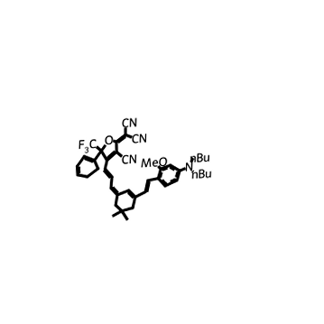 CCCCN(CCCC)c1ccc(/C=C/C2=CC(=CC=CC3=C(C#N)C(=C(C#N)C#N)OC3(C3=CC=CCC3)C(F)(F)F)CC(C)(C)C2)c(OC)c1